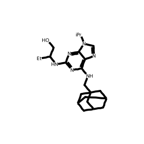 CCC(CO)Nc1nc(NCC23CC4CC(CC(C4)C2)C3)c2ncn(C(C)C)c2n1